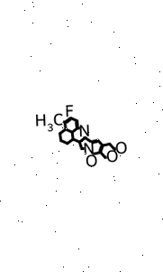 CC1=C(F)C=C2N=C3c4cc5c(c(=O)n4CC3C3CCCC1C23)COC(=O)C5